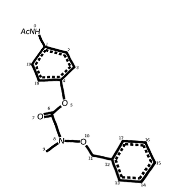 CC(=O)Nc1ccc(OC(=O)N(C)OCc2ccccc2)cc1